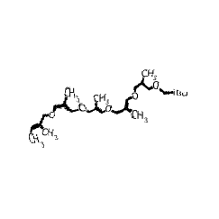 C/C=C(\C)COCC(C)COC/C(C)=C/OCC(C)COCC(C)COCC(C)CC